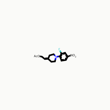 CC(=O)OCC=C1CCN(c2ccc([N+](=O)[O-])cc2F)CC1